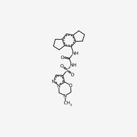 CN1COc2c(S(=O)(=O)NC(=O)Nc3c4c(cc5c3CCC5)CCC4)cnn2C1